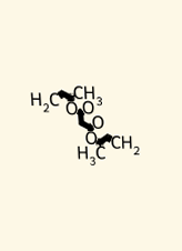 C=C[C@H](C)OC(=O)CC(=O)O[C@@H](C)C=C